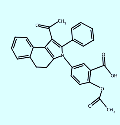 CC(=O)Oc1ccc(-n2c3c(c(C(C)=O)c2-c2ccccc2)-c2ccccc2CC3)cc1C(=O)O